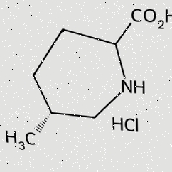 C[C@@H]1CCC(C(=O)O)NC1.Cl